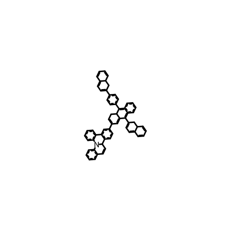 C1=CC2=CC=C(C3=c4ccccc4=C(c4ccc(C5=CC=C6C=CC=CC6C5)cc4)C4CC=C(c5ccc6c(c5)-c5ccccc5N5c7ccccc7C=CC65)C=C34)CC2C=C1